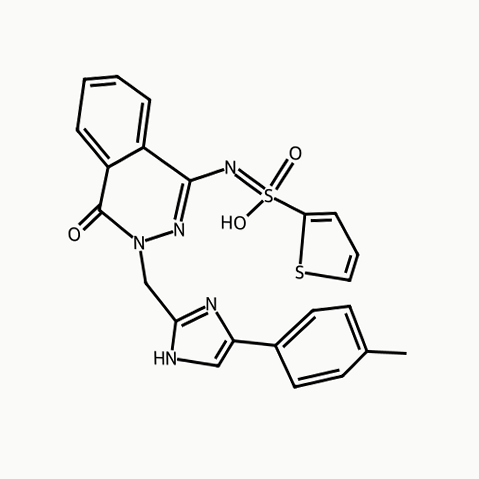 Cc1ccc(-c2c[nH]c(Cn3nc(N=S(=O)(O)c4cccs4)c4ccccc4c3=O)n2)cc1